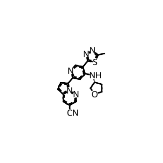 Cc1nnc(-c2cnc(-c3ccc4cc(C#N)cnn34)cc2N[C@@H]2CCOC2)s1